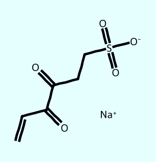 C=CC(=O)C(=O)CCS(=O)(=O)[O-].[Na+]